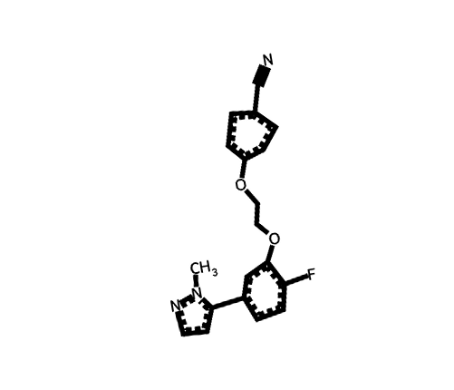 Cn1nccc1-c1ccc(F)c(OCCOc2ccc(C#N)cc2)c1